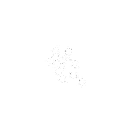 c1ccc(-c2cc(-c3ccccc3)nc(-c3cccc(-n4c5ccccc5c5c6c7ccccc7c7ccccc7c6c6c7ccccc7oc6c54)c3)c2)cc1